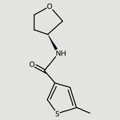 Cc1cc(C(=O)N[C@H]2CCOC2)cs1